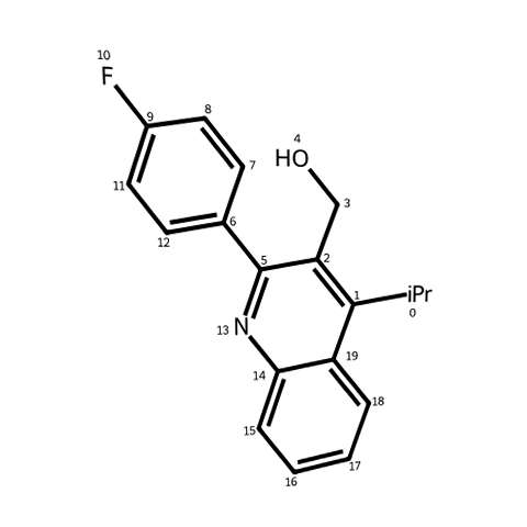 CC(C)c1c(CO)c(-c2ccc(F)cc2)nc2ccccc12